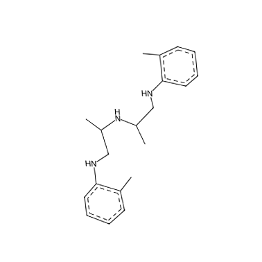 Cc1ccccc1NCC(C)NC(C)CNc1ccccc1C